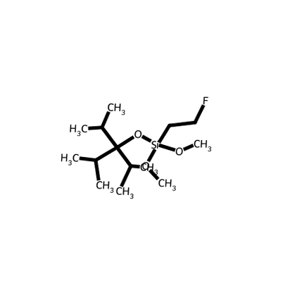 CO[Si](CCF)(OC)OC(C(C)C)(C(C)C)C(C)C